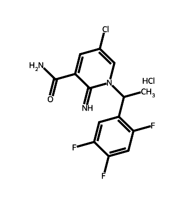 CC(c1cc(F)c(F)cc1F)n1cc(Cl)cc(C(N)=O)c1=N.Cl